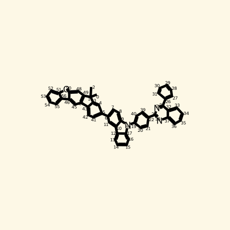 CC1(C)c2cc(-c3ccc4c(c3)c3ccccc3n4-c3ccc(-c4nc(-c5ccccc5)c5ccccc5n4)cc3)ccc2-c2cc3c(cc21)oc1ccccc13